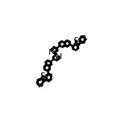 c1ccc2c(c1)sc1c(-c3ccc4ccc(-c5ccnc(-c6cc(-c7ccc8ccc(-c9cccc%10c9sc9ccccc9%10)cc8c7)ccn6)c5)cc4c3)cccc12